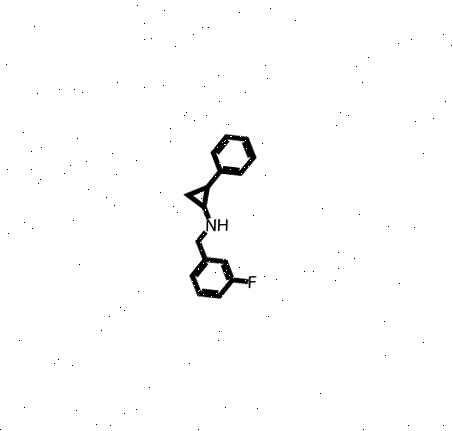 Fc1cccc(CNC2CC2c2ccccc2)c1